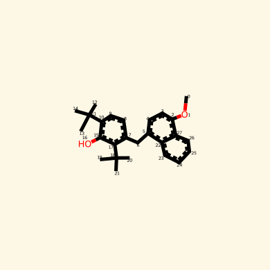 COc1ccc(Cc2ccc(C(C)(C)C)c(O)c2C(C)(C)C)c2ccccc12